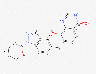 Cc1ccc2c(cnn2C2CCCCO2)c1Oc1cccc2c(=O)[nH]cnc12